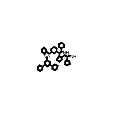 N=C/C(=C1\NC(C2C=CC=CC2)=C(C2C=CC=C(c3nc(-c4cc(-c5ccccc5)cc(-c5ccccc5)c4)nc4ccccc34)C2)c2ccccc21)c1ccccc1